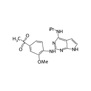 COc1cc(S(C)(=O)=O)ccc1Nc1nc(NC(C)C)c2cc[nH]c2n1